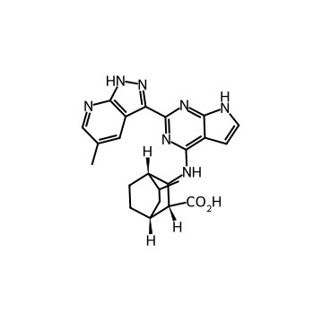 Cc1cnc2[nH]nc(-c3nc(NC4[C@H]5CC[C@H](CC5C)[C@H]4C(=O)O)c4cc[nH]c4n3)c2c1